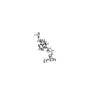 CCC(O)OC[C@@H]1CC[C@H](n2cnc3c(NCC4CC4)ncnc32)O1